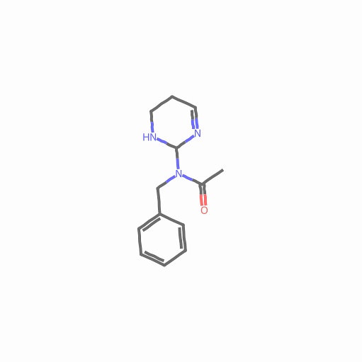 CC(=O)N(Cc1ccccc1)C1N=CCCN1